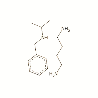 CC(C)NCc1ccccc1.NCCCCN